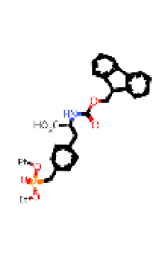 CCOP(=O)(Cc1ccc(C[C@H](NC(=O)OCC2c3ccccc3-c3ccccc32)C(=O)O)cc1)OCC